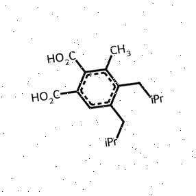 Cc1c(CC(C)C)c(CC(C)C)cc(C(=O)O)c1C(=O)O